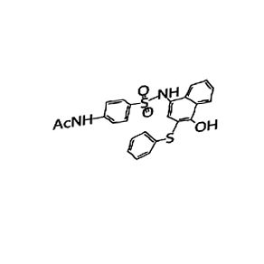 CC(=O)Nc1ccc(S(=O)(=O)Nc2cc(Sc3ccccc3)c(O)c3ccccc23)cc1